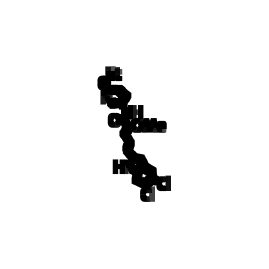 CCOc1ccc(NC(=O)/C(=C/C=C/c2cc3cc(Cl)c(Cl)cc3[nH]2)OC)cn1